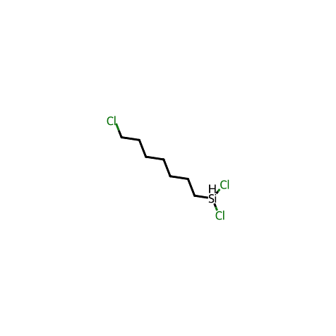 ClCCCCCCC[SiH](Cl)Cl